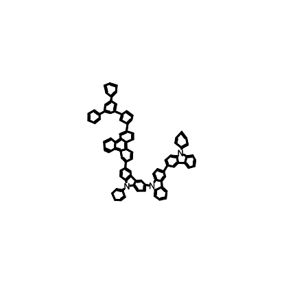 c1ccc2c(c#1)c1cc(-c3ccc4c(c3)c3cc(-n5c6ccccc6c6cc(-c7ccc8c(c7)c7ccccc7n8-c7ccccc7)ccc65)ccc3n4C3=CCCC=C3)ccc1c1ccc(-c3cccc(-c4cc(-c5ccccc5)cc(-c5ccccc5)c4)c3)cc21